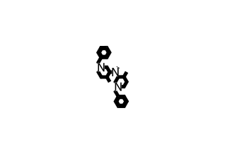 CC1CCN(Cc2ccccc2)CC1N(C)C1CN(Cc2ccccc2)CCC1C